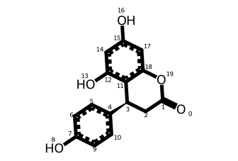 O=C1C[C@@H](c2ccc(O)cc2)c2c(O)cc(O)cc2O1